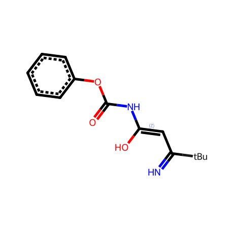 CC(C)(C)C(=N)/C=C(\O)NC(=O)Oc1ccccc1